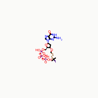 CC(C)(I)SSCOC1C[C@H](n2cnc3c(=O)[nH]c(N)nc32)O[C@@H]1COP(=O)(O)OP(=O)(O)OP(=O)(O)O